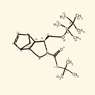 CC(C)(C)OC(=O)N1CC2C3C=CC(C3)C2[C@H]1CO[Si](C)(C)C(C)(C)C